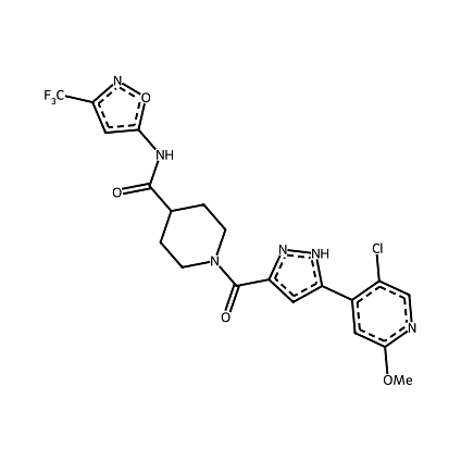 COc1cc(-c2cc(C(=O)N3CCC(C(=O)Nc4cc(C(F)(F)F)no4)CC3)n[nH]2)c(Cl)cn1